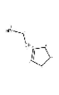 C1=CCCC1.CCCCO